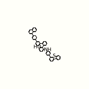 Oc1cccc(Nc2ccc(-c3cccc4c3sc3ccccc34)cc2)c1-c1ccccc1-c1cccc(C2=CC=C(c3cccc4ccccc34)CC2)c1